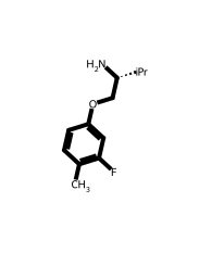 Cc1ccc(OC[C@H](N)C(C)C)cc1F